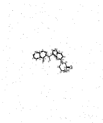 CC(c1ccc2ncccc2c1F)c1cnc2ccc(N3CCNC(=O)C3)nn12